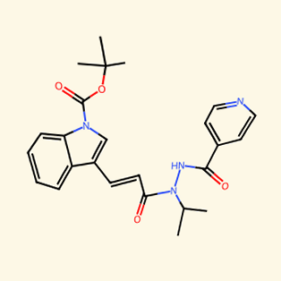 CC(C)N(NC(=O)c1ccncc1)C(=O)C=Cc1cn(C(=O)OC(C)(C)C)c2ccccc12